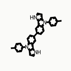 Cc1ccc(-n2c3ccc(-c4ccc5c(c4)c4[nH]ccc4n5-c4ccc(C)cc4)cc3c3[nH]ccc32)cc1